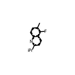 Cc1ccc2nc(C(C)C)ccc2c1F